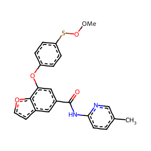 COOSc1ccc(Oc2cc(C(=O)Nc3ccc(C)cn3)cc3ccoc23)cc1